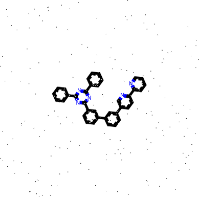 c1ccc(-c2nc(-c3ccccc3)nc(-c3cccc(-c4cccc(-c5ccc(-c6ccccn6)nc5)c4)c3)n2)cc1